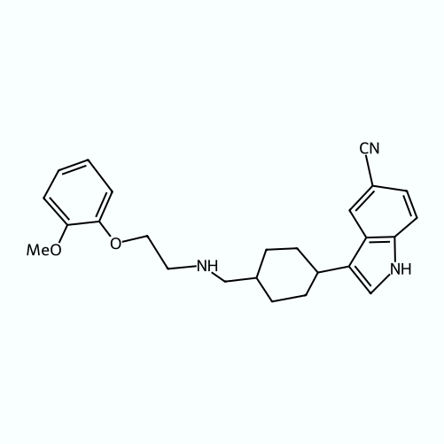 COc1ccccc1OCCNCC1CCC(c2c[nH]c3ccc(C#N)cc23)CC1